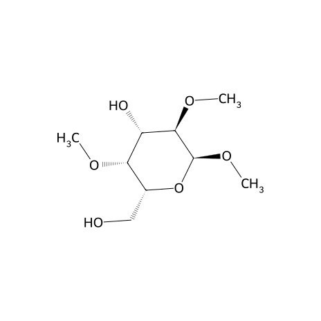 CO[C@H]1O[C@H](CO)[C@H](OC)[C@H](O)[C@H]1OC